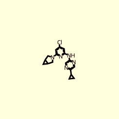 Clc1cc(Nc2cnc(C3CC3)cn2)nc(N2CC3CC3C2)c1